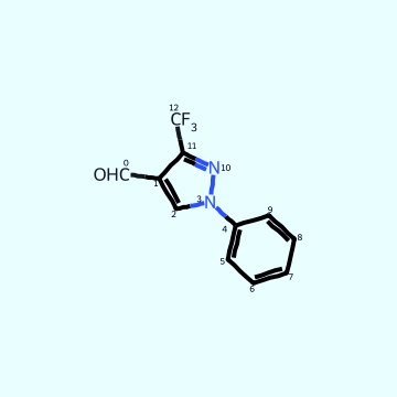 O=Cc1cn(-c2ccccc2)nc1C(F)(F)F